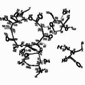 CCN(N)C(=O)O.CC[C@H]1OC(=O)[C@H](C)[C@@H](O[C@H]2C[C@@](C)(OC)[C@@H](O)[C@H](C)O2)[C@H](C)[C@@H](O[C@@H]2O[C@H](C)C[C@H](N(C)C)[C@H]2O)[C@](C)(O)C[C@@H](C)C(=O)[C@H](C)[C@@H](O)[C@]1(C)O